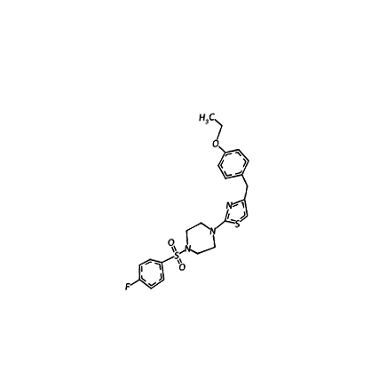 CCOc1ccc(Cc2csc(N3CCN(S(=O)(=O)c4ccc(F)cc4)CC3)n2)cc1